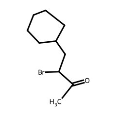 CC(=O)C(Br)CC1CCCCC1